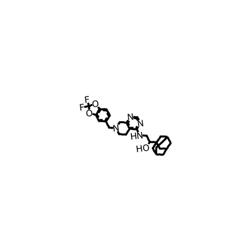 OC(CNc1ncnc2c1CCN(Cc1ccc3c(c1)OC(F)(F)O3)C2)C12CC3CC(CC(C3)C1)C2